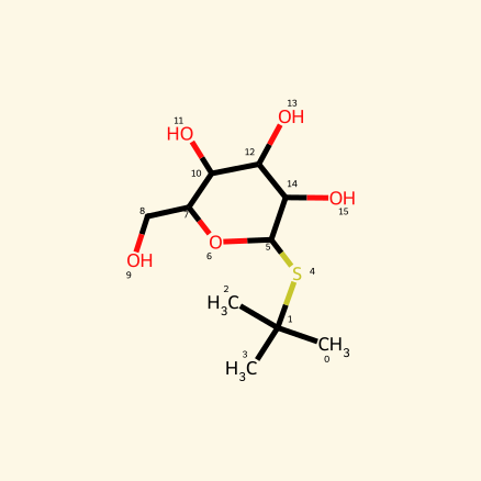 CC(C)(C)SC1OC(CO)C(O)C(O)C1O